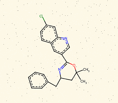 CC1(C)CC(Cc2ccccc2)N=C(c2cnc3cc(Cl)ccc3c2)O1